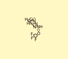 C[C@]12CCCN1c1nc(N[C@H]3C[C@H](Oc4cc(F)c(F)c(F)c4)C3)ncc1NC2=O